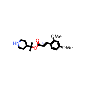 COc1ccc(/C=C/C(=O)OC(C)(C)C2CCNCC2)c(OC)c1